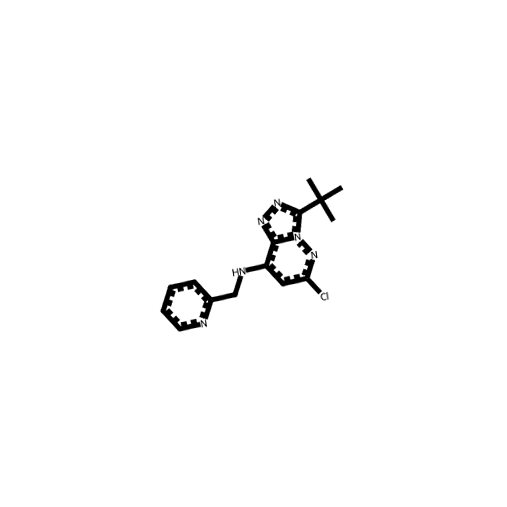 CC(C)(C)c1nnc2c(NCc3ccccn3)cc(Cl)nn12